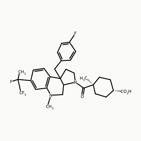 CN1CC2N(C(=O)[C@]3(C)CC[C@@H](C(=O)O)CC3)CCC2(Cc2ccc(F)cc2)c2ccc(C(C)(F)C(F)(F)F)cc21